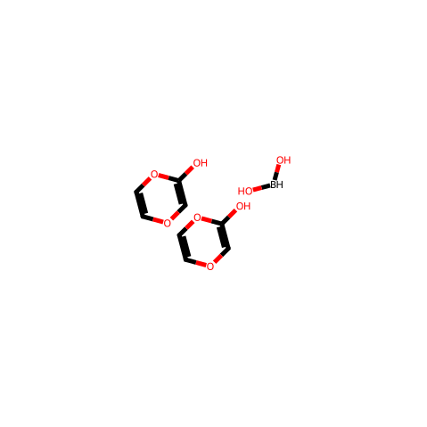 OBO.OC1=COC=CO1.OC1=COC=CO1